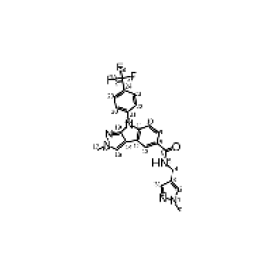 Cn1cc(CNC(=O)c2ccc3c(c2)c2cn(C)nc2n3-c2ccc(C(F)(F)F)cc2)cn1